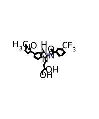 CN1CCC(c2ccc3c(c2)[nH]/c(=N\C(=O)c2cccc(C(F)(F)F)c2)n3CCC(O)CO)C1=O